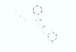 COc1cc(C)nc(NC(=O)NS(=O)(=O)c2ccccc2S(=O)(=O)N(C)C(F)(F)C(F)F)n1